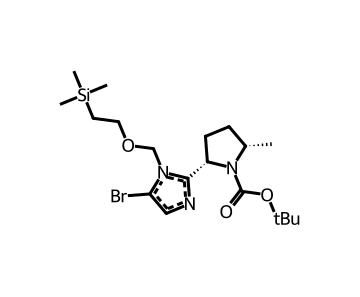 C[C@H]1CC[C@@H](c2ncc(Br)n2COCC[Si](C)(C)C)N1C(=O)OC(C)(C)C